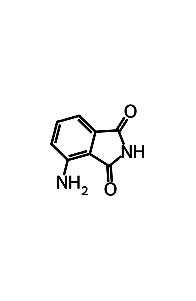 Nc1cccc2c1C(=O)NC2=O